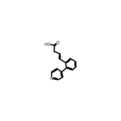 O=C(O)C/C=C/c1ccccc1-c1ccncc1